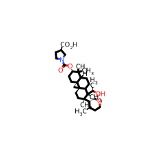 C[C@@H]1CCOC[C@H]1[C@@]1(C)CC[C@@]23C[C@@]24CC[C@H](OC(=O)N2CC[C@@H](C(=O)O)C2)C(C)(C)[C@@H]4CCC3[C@]1(C)[C@H](C)O